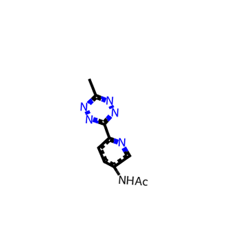 CC(=O)Nc1ccc(-c2nnc(C)nn2)nc1